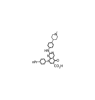 CCCc1ccc(-n2cc(C(=O)O)c(=O)c3cnc(Nc4ccc(C5CCN(C)CC5)cc4)nc32)cc1